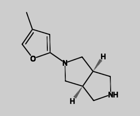 Cc1coc(N2C[C@H]3CNC[C@H]3C2)c1